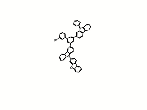 Brc1cccc(-c2cc(-c3ccc4c(c3)c3ccccc3n4-c3ccc4c(c3)oc3ccccc34)cc(-c3ccc4c5c(n(-c6ccccc6)c4c3)C=CCC5)c2)c1